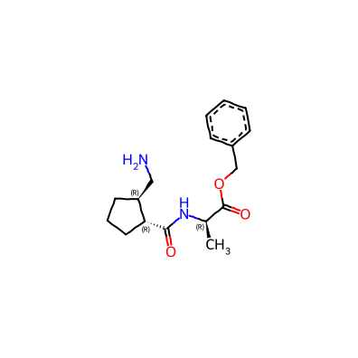 C[C@@H](NC(=O)[C@@H]1CCC[C@H]1CN)C(=O)OCc1ccccc1